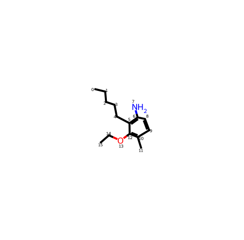 CCCCCc1c(N)ccc(C)c1OCC